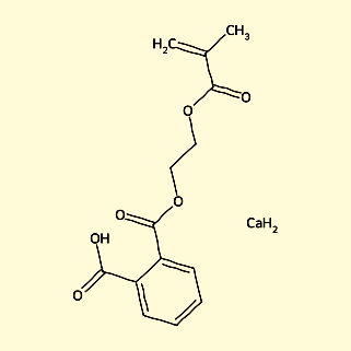 C=C(C)C(=O)OCCOC(=O)c1ccccc1C(=O)O.[CaH2]